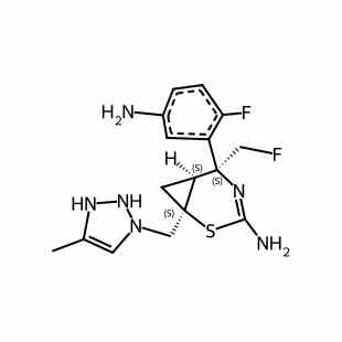 CC1=CN(C[C@]23C[C@H]2[C@@](CF)(c2cc(N)ccc2F)N=C(N)S3)NN1